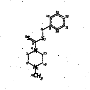 CN1CCN(C(=S)SCc2ccccc2)CC1